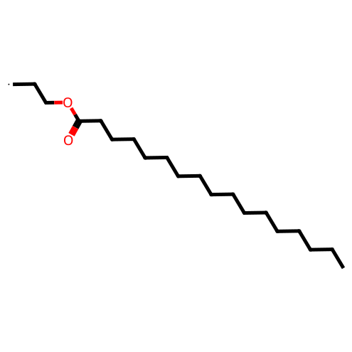 [CH2]CCOC(=O)CCCCCCCCCCCCCCCC